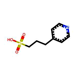 O=S(=O)(O)CCCc1ccncc1